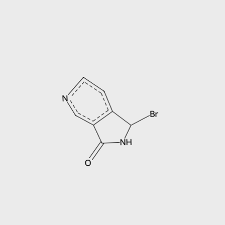 O=C1NC(Br)c2ccncc21